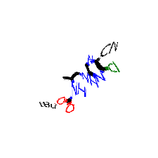 CC(CNc1cnc(C#N)c(Cl)n1)NC(=O)OC(C)(C)C